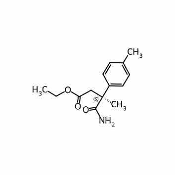 CCOC(=O)C[C@](C)(C(N)=O)c1ccc(C)cc1